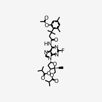 C#C[C@]1(COC(=O)C(C)C)O[C@@H](n2cnc3c(NC(=O)CC(C)(C)c4c(C)cc(C)cc4OC(C)=O)nc(F)nc32)C[C@@H]1OC(=O)C(C)C